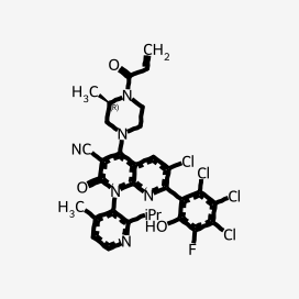 C=CC(=O)N1CCN(c2c(C#N)c(=O)n(-c3c(C)ccnc3C(C)C)c3nc(-c4c(O)c(F)c(Cl)c(Cl)c4Cl)c(Cl)cc23)C[C@H]1C